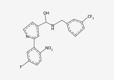 O=[N+]([O-])c1ccc(F)cc1-c1cc(C(O)NCc2cccc(C(F)(F)F)c2)ccn1